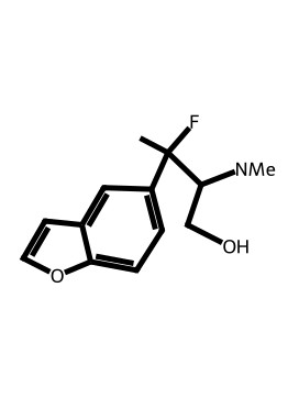 CNC(CO)C(C)(F)c1ccc2occc2c1